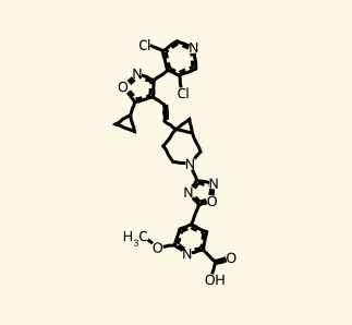 COc1cc(-c2nc(N3CCC4(/C=C/c5c(-c6c(Cl)cncc6Cl)noc5C5CC5)CC4C3)no2)cc(C(=O)O)n1